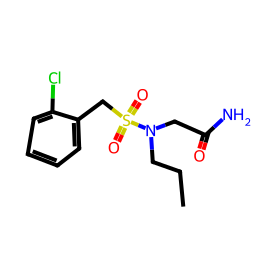 CCCN(CC(N)=O)S(=O)(=O)Cc1ccccc1Cl